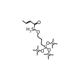 CC=CC(=O)[SiH2]OCCC[Si](O[Si](C)(C)C)(O[Si](C)(C)C)O[Si](C)(C)C